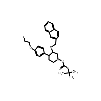 CC(C)(C)OC(=O)ON1CCC(c2ccc(OCCO)cc2)C(OCc2ccc3ccccc3c2)C1